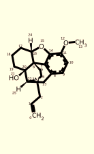 C=CCN1CC[C@]23c4c5ccc(OC)c4O[C@H]2CCC[C@@]3(O)[C@H]1C5